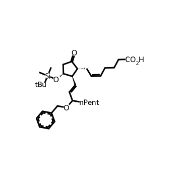 CCCCCC(/C=C/[C@H]1[C@H](O[Si](C)(C)C(C)(C)C)CC(=O)[C@@H]1C/C=C\CCCC(=O)O)OCc1ccccc1